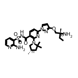 CC[C@@](C)(N)COc1ccn(-c2ccc(C(=O)NS(=O)(=O)c3cccnc3N)c(N3C[C@@H](C)CC3(C)C)n2)n1